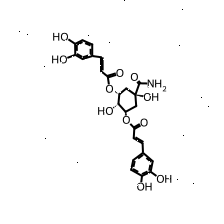 NC(=O)[C@]1(O)C[C@@H](OC(=O)/C=C/c2ccc(O)c(O)c2)[C@H](O)[C@H](OC(=O)/C=C/c2ccc(O)c(O)c2)C1